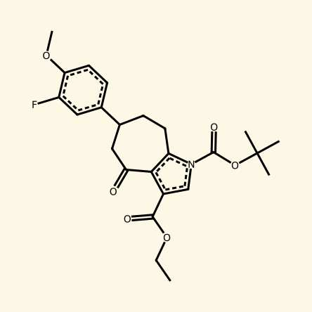 CCOC(=O)c1cn(C(=O)OC(C)(C)C)c2c1C(=O)CC(c1ccc(OC)c(F)c1)CC2